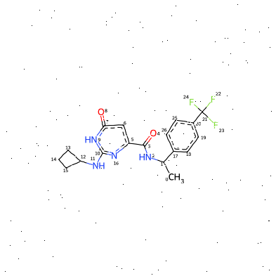 CC(NC(=O)c1cc(=O)[nH]c(NC2CCC2)n1)c1ccc(C(F)(F)F)cc1